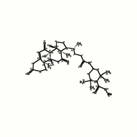 C[C@H](CCC(=O)OC1CC(C)(C)N(C(=O)OC(C)(C)C)C(C)(C)C1)C1CC[C@H]2[C@@H]3C(=O)C=C4CC(=O)CC[C@]4(C)[C@H]3CC(=O)[C@]12C